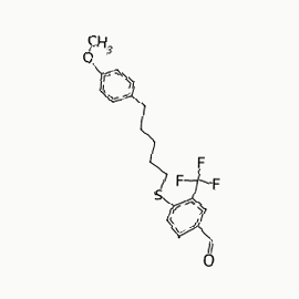 COc1ccc(CCCCCSc2ccc(C=O)cc2C(F)(F)F)cc1